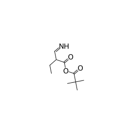 CCC(C=N)C(=O)OC(=O)C(C)(C)C